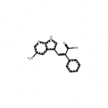 Nc1cnc2[nH]cc(C=C(C(=O)O)c3ccccc3)c2c1